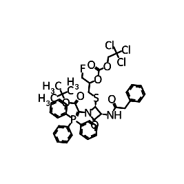 CC(C)(C)OC(=O)C(N1C(=O)[C@H](NC(=O)Cc2ccccc2)[C@@H]1SCC(CF)OC(=O)OCC(Cl)(Cl)Cl)=P(c1ccccc1)(c1ccccc1)c1ccccc1